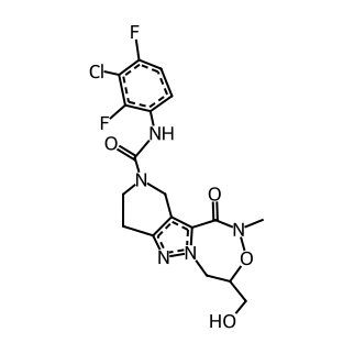 CN1OC(CO)Cn2nc3c(c2C1=O)CN(C(=O)Nc1ccc(F)c(Cl)c1F)CC3